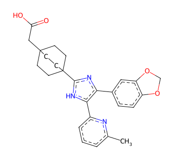 Cc1cccc(-c2[nH]c(C34CCC(CC(=O)O)(CC3)CC4)nc2-c2ccc3c(c2)OCO3)n1